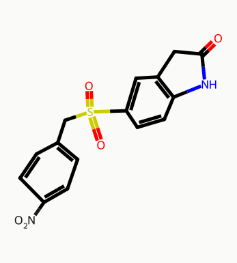 O=C1Cc2cc(S(=O)(=O)Cc3ccc([N+](=O)[O-])cc3)ccc2N1